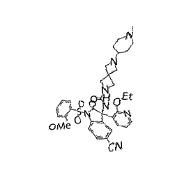 CCOc1ncccc1[C@@]1(NC(=O)N2CC3(C2)CN(C2CCN(C)CC2)C3)C(=O)N(S(=O)(=O)c2ccccc2OC)c2ccc(C#N)cc21